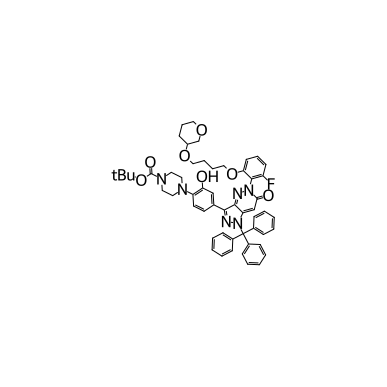 CC(C)(C)OC(=O)N1CCN(c2ccc(-c3nn(C(c4ccccc4)(c4ccccc4)c4ccccc4)c4cc(=O)n(-c5c(F)cccc5OCCCCOC5CCCOC5)nc34)cc2O)CC1